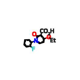 CCOc1ccn(-c2ccccc2F)c(=O)c1C(=O)O